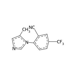 Cc1cncn1-c1ccc(C(F)(F)F)cc1C#N